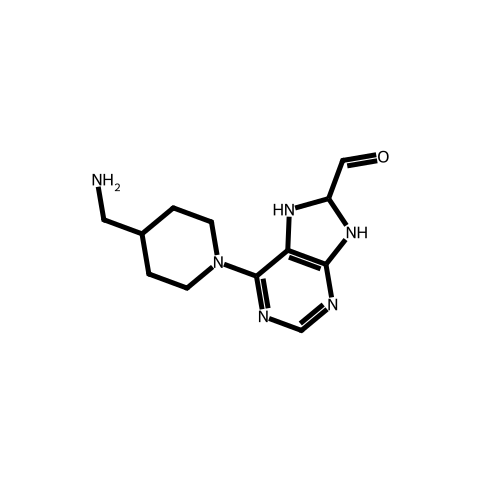 NCC1CCN(c2ncnc3c2NC(C=O)N3)CC1